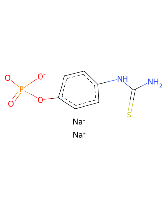 NC(=S)Nc1ccc(OP(=O)([O-])[O-])cc1.[Na+].[Na+]